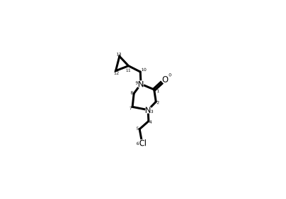 O=C1CN(CCCl)CCN1CC1CC1